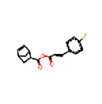 O=C(/C=C/c1ccc(F)cc1)OC(=O)C1CC2C=CC1C2